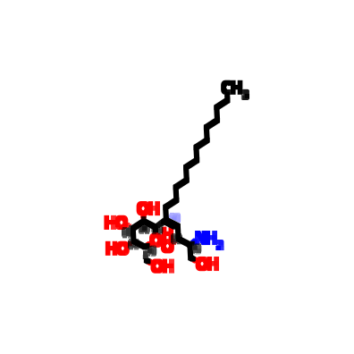 CCCCCCCCCCCCC/C(=C/[C@@H](O)[C@@H](N)CO)[C@H]1O[C@H](CO)[C@H](O)[C@H](O)[C@H]1O